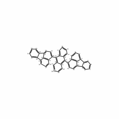 c1ccc2c(c1)-c1cccc3c(-c4c5ccccc5c(-c5ccc6c7c(cccc57)-c5ccccc5-6)c5cnccc45)ccc-2c13